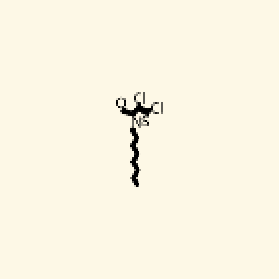 CCCCCCCCN1SC(Cl)=C(Cl)C1C=O